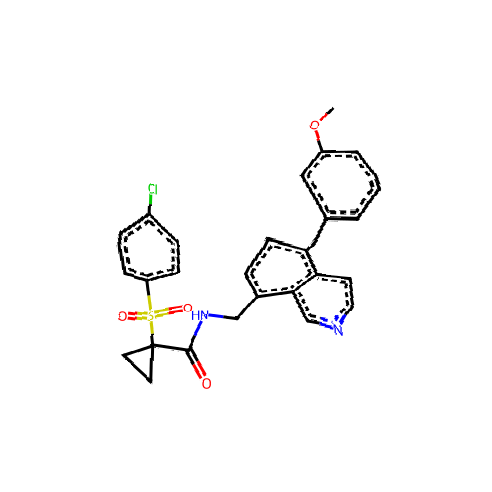 COc1cccc(-c2ccc(CNC(=O)C3(S(=O)(=O)c4ccc(Cl)cc4)CC3)c3cnccc23)c1